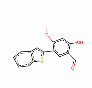 COc1cc(O)c(C=O)cc1-c1cc2ccccc2s1